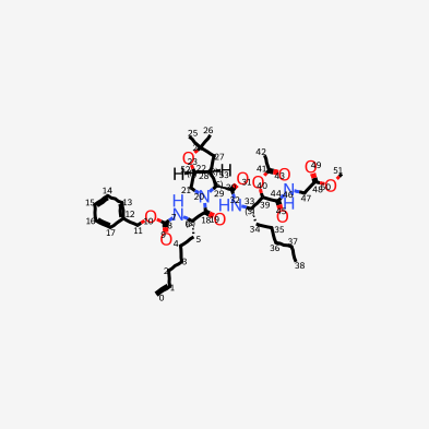 C=CCCCC[C@H](NC(=O)OCc1ccccc1)C(=O)N1C[C@@H]2OC(C)(C)C[C@@H]2[C@H]1C(=O)N[C@@H](CCCCC)C(OC(C)=O)C(=O)NCC(=O)OC